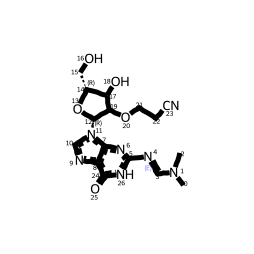 CN(C)/C=N/c1nc2c(ncn2[C@@H]2O[C@H](CO)C(O)C2OCCC#N)c(=O)[nH]1